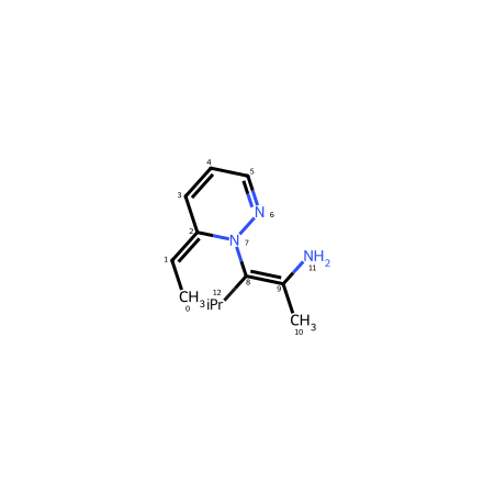 C/C=C1/C=CC=NN1/C(=C(/C)N)C(C)C